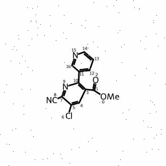 COC(=O)c1cc(Cl)c(C#N)nc1-c1cccnc1